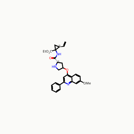 C=C[C@@H]1CC1(NC(=O)[C@@H]1CC(Oc2cc(-c3ccccc3)nc3cc(OC)ccc23)CN1)C(=O)OCC